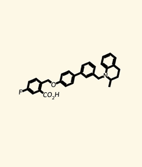 CC1CCc2ccccc2N1Cc1cccc(-c2ccc(OCc3ccc(F)cc3C(=O)O)cc2)c1